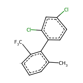 Cc1cc[c]c(C(F)(F)F)c1-c1ccc(Cl)cc1Cl